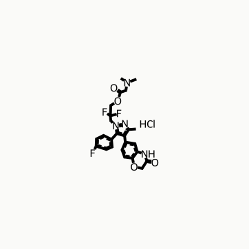 Cc1nn(CC(F)(F)COC(=O)CN(C)C)c(-c2ccc(F)cc2)c1-c1ccc2c(c1)NC(=O)CO2.Cl